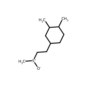 CC1CCC(CC[S+](C)[O-])CC1C